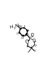 CC1(C)COP(=O)(c2ccc(N)cc2)OC1